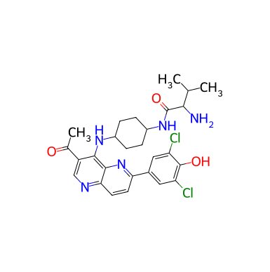 CC(=O)c1cnc2ccc(-c3cc(Cl)c(O)c(Cl)c3)nc2c1NC1CCC(NC(=O)C(N)C(C)C)CC1